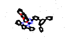 c1ccc(-c2cc(-c3ccccc3)cc(-c3cccc(-c4nc(-c5ccccc5)nc(-n5c6ccccc6c6ccc7c8ccccc8n(-c8cccc(-c9ccccc9)c8)c7c65)n4)c3)c2)cc1